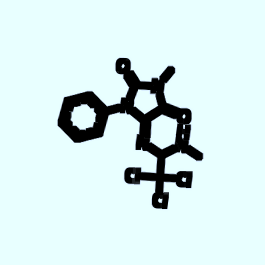 CNC(N=C1C(=O)N(C)C(=O)N1c1ccccc1)C(Cl)(Cl)Cl